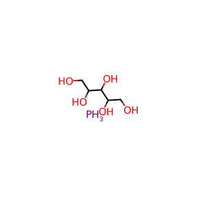 OCC(O)C(O)C(O)CO.P